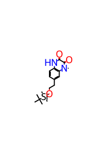 CC(C)(C)[Si](C)(C)OCCc1ccc2c(c1)[N]C(=O)C(=O)N2